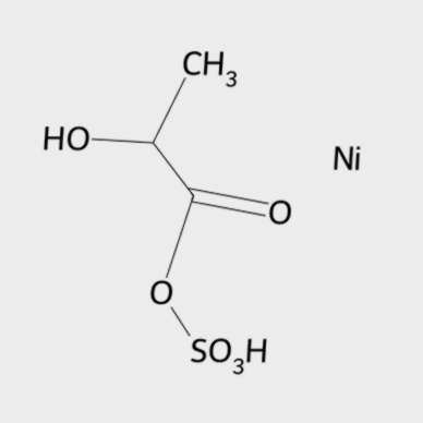 CC(O)C(=O)OS(=O)(=O)O.[Ni]